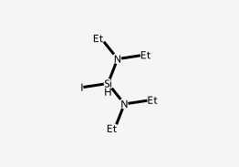 CCN(CC)[SiH](I)N(CC)CC